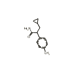 Cc1ccc(C(CC2CC2)C(N)=O)cc1